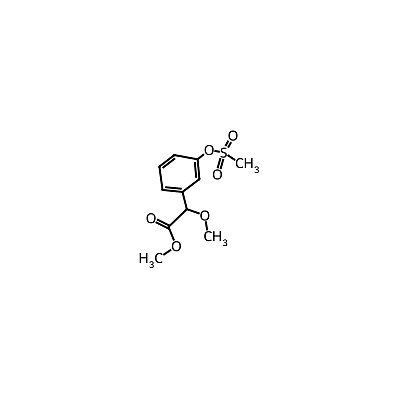 COC(=O)C(OC)c1cccc(OS(C)(=O)=O)c1